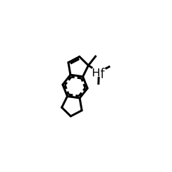 [CH3][Hf]([CH3])[C]1(C)C=Cc2cc3c(cc21)CCC3